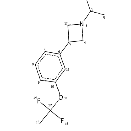 CC(C)N1CC(c2cccc(OC(C)(F)F)c2)C1